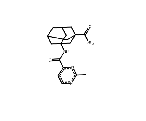 Cc1nccc(C(=O)NC23CC4CC(C2)CC(C(N)=O)(C4)C3)n1